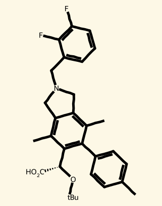 Cc1ccc(-c2c(C)c3c(c(C)c2[C@H](OC(C)(C)C)C(=O)O)CN(Cc2cccc(F)c2F)C3)cc1